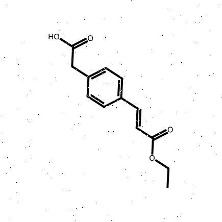 CCOC(=O)C=Cc1ccc(CC(=O)O)cc1